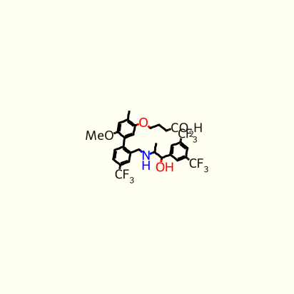 COc1cc(C)c(OCCCC(=O)O)cc1-c1ccc(C(F)(F)F)cc1CNC(C)C(O)c1cc(C(F)(F)F)cc(C(F)(F)F)c1